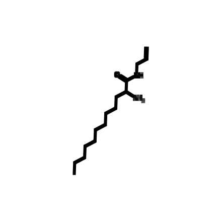 C=CCNC(=O)C(N)CCCCCCCCCC